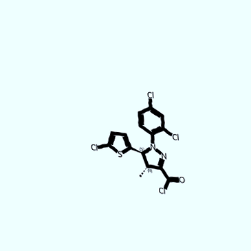 C[C@H]1C(C(=O)Cl)=NN(c2ccc(Cl)cc2Cl)[C@@H]1c1ccc(Cl)s1